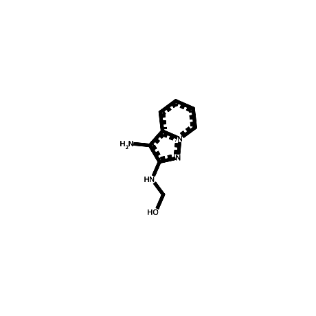 Nc1c(NCO)nn2ccccc12